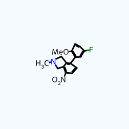 COc1ccc(F)cc1-c1ccc([N+](=O)[O-])c2c1CCN(C)C2